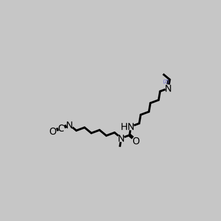 C/C=N\CCCCCCNC(=O)N(C)CCCCCCN=C=O